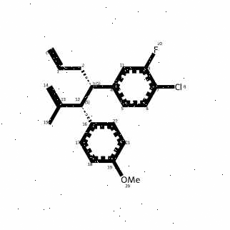 C=CC[C@H](c1ccc(Cl)c(F)c1)[C@@H](C(=C)C)c1ccc(OC)cc1